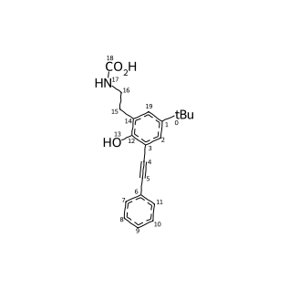 CC(C)(C)c1cc(C#Cc2ccccc2)c(O)c(CCNC(=O)O)c1